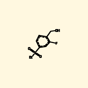 CCS(=O)(=O)c1ccc(CO)c(F)c1